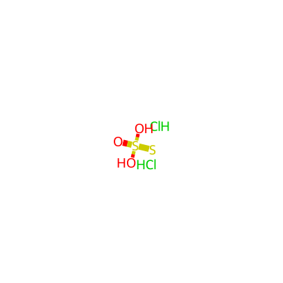 Cl.Cl.O=S(O)(O)=S